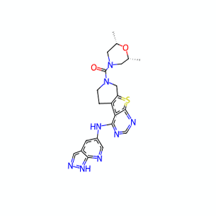 C[C@@H]1CN(C(=O)N2CCc3c(sc4ncnc(Nc5cnc6[nH]ncc6c5)c34)C2)C[C@H](C)O1